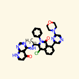 C[C@H](Nc1ncnc2[nH]ccc(=O)c12)c1c(Cl)c2cccc(-c3cncc(N4CCOCC4)n3)c2c(=O)n1-c1ccccc1